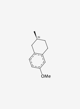 COc1ccc2c(c1)CC[C@H](C)C2